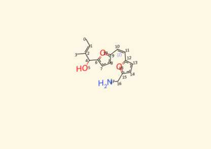 CC=C(C)C(O)c1ccc(/C=C\c2ccc(CN)o2)o1